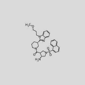 COCCCn1c([C@@H]2CCCN(C(=O)C3CN(S(=O)(=O)c4cccc5ccccc45)C[C@H]3N)C2)nc2ccccc21